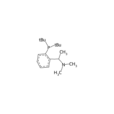 CC(c1ccccc1P(C(C)(C)C)C(C)(C)C)N(C)C